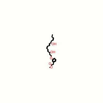 CC/C=C\C[C@H](O)/C=C/C=C\C=C\[C@@H](O)CCOc1cccc(CC(=O)OC)c1